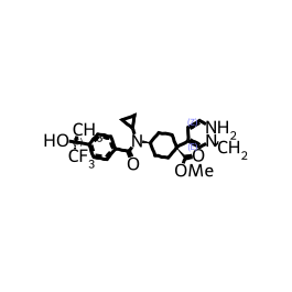 C=N/C=C(\C=C/N)[C@]1(C(=O)OC)CC[C@@H](N(C(=O)c2ccc([C@](C)(O)C(F)(F)F)cc2)C2CC2)CC1